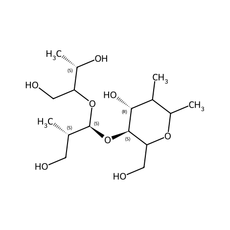 CC1OC(CO)[C@@H](O[C@H](OC(CO)[C@H](C)O)[C@@H](C)CO)[C@H](O)C1C